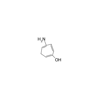 NC1=CCC=C(O)C=C1